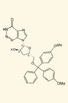 COc1ccc(C(OC[C@@H]2C[C@@H](O)[C@H](n3cnc4c(=O)[nH]nnc43)O2)(c2ccccc2)c2ccc(OC)cc2)cc1